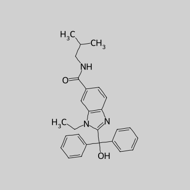 CCn1c(C(O)(c2ccccc2)c2ccccc2)nc2ccc(C(=O)NCC(C)C)cc21